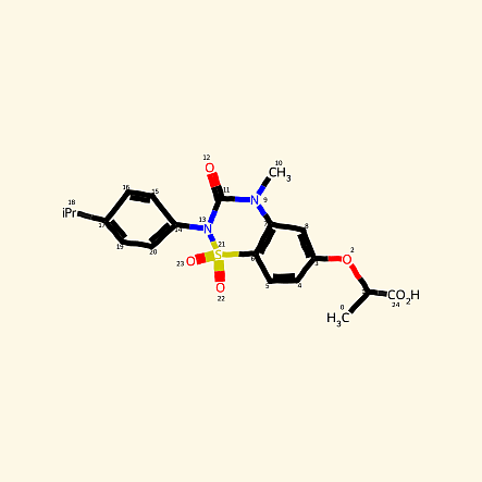 CC(Oc1ccc2c(c1)N(C)C(=O)N(c1ccc(C(C)C)cc1)S2(=O)=O)C(=O)O